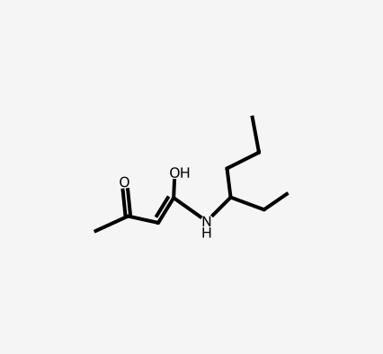 CCCC(CC)N/C(O)=C/C(C)=O